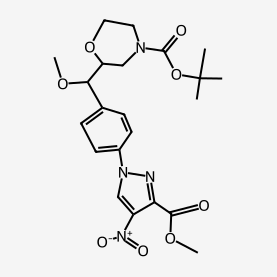 COC(=O)c1nn(-c2ccc(C(OC)C3CN(C(=O)OC(C)(C)C)CCO3)cc2)cc1[N+](=O)[O-]